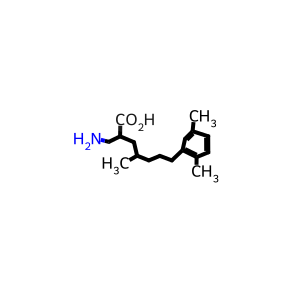 Cc1ccc(C)c(CCCC(C)CC(CN)C(=O)O)c1